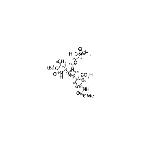 C=CCC(NC(=O)OC(C)(C)C)c1nc(-c2ccc(NC(=O)OC)cc2C(=O)O)cn1COCC[Si](C)(C)C